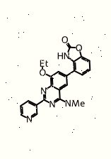 CCOc1cc(-c2cccc3oc(=O)[nH]c23)cc2c(NC)nc(-c3cccnc3)nc12